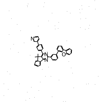 CC1(C)c2ccccc2-c2nc(-c3cccc(-c4cccc5c4oc4ccccc45)c3)nc(-c3ccc(-c4cccnc4)cc3)c21